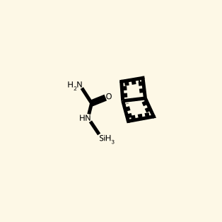 NC(=O)N[SiH3].c1cc2ccc1-2